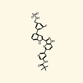 CC(C)(C)C(=O)Nc1cncc(-c2ccc3[nH]nc(-c4cc5c(-c6cc(F)cc(CNS(C)(=O)=O)c6)cccc5[nH]4)c3n2)c1